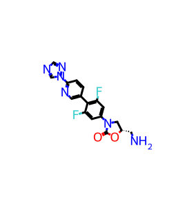 NC[C@H]1CN(c2cc(F)c(-c3ccc(-n4cncn4)nc3)c(F)c2)C(=O)O1